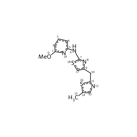 COc1cccc(Nc2nc(Cc3ncc(C)s3)cs2)n1